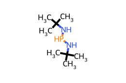 CC(C)(C)NPNC(C)(C)C